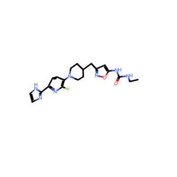 CCNC(=O)Nc1cc(CC2CCN(c3ccc(-c4ncc[nH]4)nc3F)CC2)no1